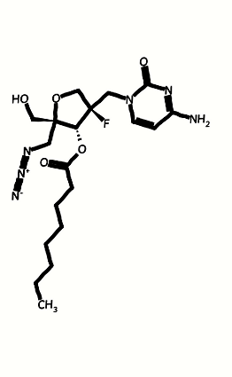 CCCCCCCC(=O)O[C@H]1[C@@](F)(Cn2ccc(N)nc2=O)CO[C@@]1(CO)CN=[N+]=[N-]